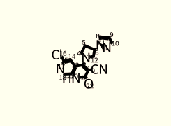 N#Cc1c(N2CC[C@@H](n3cccn3)C2)c2cc(Cl)ncc2[nH]c1=O